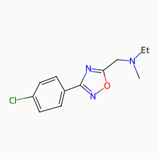 CCN(C)Cc1nc(-c2ccc(Cl)cc2)no1